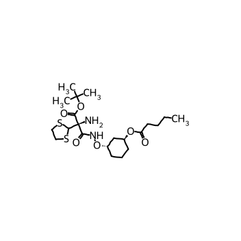 CCCCC(=O)O[C@H]1CCC[C@H](ONC(=O)[C@@](N)(C(=O)OC(C)(C)C)C2SCCS2)C1